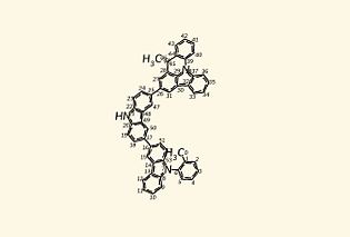 Cc1ccccc1-n1c2ccccc2c2cc(-c3ccc4[nH]c5ccc(-c6cc7c8c(c6)c6ccccc6n8-c6ccccc6[C@H]7C)cc5c4c3)ccc21